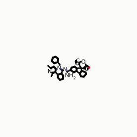 Cc1ccc(-c2ccccc2C(/N=C(\N)c2ccc3c(c2)-c2ccccc2C32c3ccccc3Oc3ccccc32)=N/Cc2ccccc2)c(C)n1